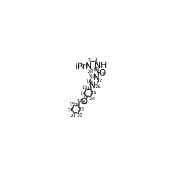 CC(C)N1CCN[C@@H](C(=O)N2CCN(c3ccc(OCc4ccccc4)cc3)CC2)C1